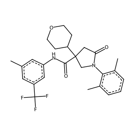 Cc1cc(NC(=O)C2(C3CCOCC3)CC(=O)N(c3c(C)cccc3C)C2)cc(C(F)(F)F)c1